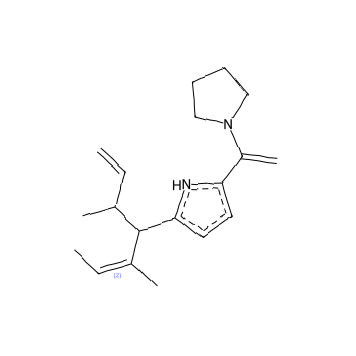 C=CC(C)C(/C(C)=C\C)c1ccc(C(=C)N2CCCC2)[nH]1